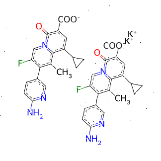 Cc1c(-c2ccc(N)nc2)c(F)cn2c(=O)c(C(=O)[O-])cc(C3CC3)c12.Cc1c(-c2ccc(N)nc2)c(F)cn2c(=O)c(C(=O)[O-])cc(C3CC3)c12.[K+].[K+]